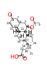 CC(=O)O[C@@H]1CC2=CC(=O)C=C[C@]2(C)[C@H]2CC[C@]3(C)[C@@H]([C@H](C)CC(=O)O)CC[C@H]3[C@H]12